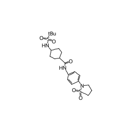 CC(C)(C)S(=O)(=O)NC1CCC(C(=O)Nc2ccc(N3CCCS3(=O)=O)cc2)CC1